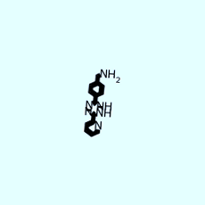 NCc1ccc(C2=NN=C(c3ccccn3)NN2)cc1